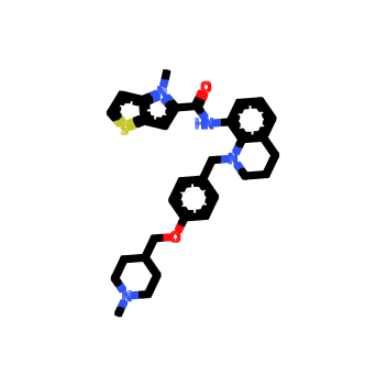 CN1CCC(COc2ccc(CN3CCCc4cccc(NC(=O)c5cc6sccc6n5C)c43)cc2)CC1